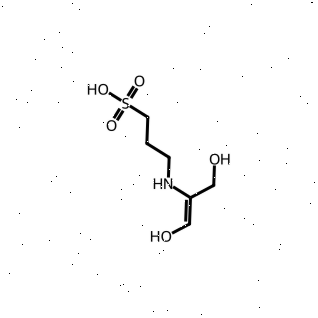 O=S(=O)(O)CCCN/C(=C\O)CO